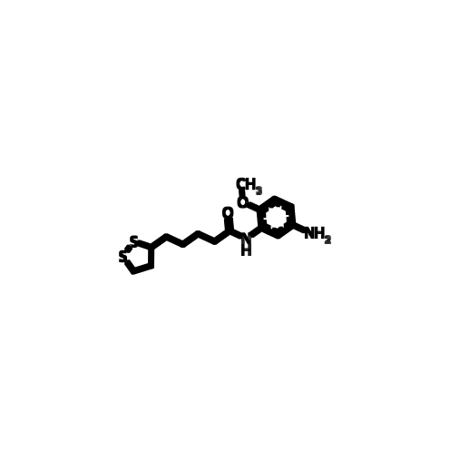 COc1ccc(N)cc1NC(=O)CCCCC1CCSS1